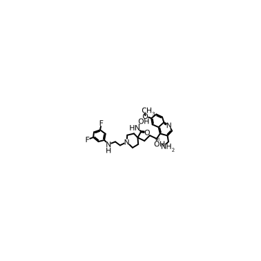 COc1ccc2ncc(CN)c([C@H](O)CCC3(C(=O)NO)CCN(CCNc4cc(F)cc(F)c4)CC3)c2c1